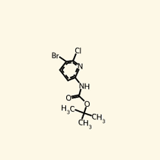 CC(C)(C)OC(=O)Nc1ccc(Br)c(Cl)n1